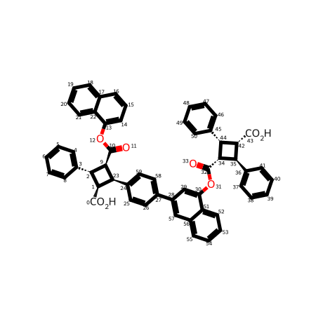 O=C(O)[C@H]1[C@H](c2ccccc2)[C@@H](C(=O)Oc2cccc3ccccc23)[C@H]1c1ccc(-c2cc(OC(=O)[C@H]3[C@H](c4ccccc4)[C@@H](C(=O)O)[C@H]3c3ccccc3)c3ccccc3c2)cc1